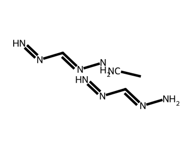 CC#N.N=NC=NN.N=NC=NN